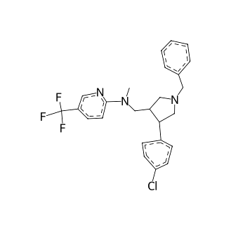 CN(CC1CN(Cc2ccccc2)CC1c1ccc(Cl)cc1)c1ccc(C(F)(F)F)cn1